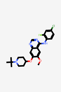 COc1cc2c(Nc3ccc(Cl)cc3F)ncnc2cc1OC1CCN(C(C)(C)C)CC1